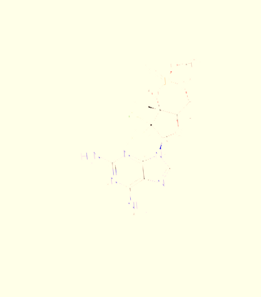 CC(C)O[P@@]1(=O)OC[C@H]2O[C@@H](n3cnc4c(N)nc(N)nc43)C(Cl)(Cl)[C@@H]2O1